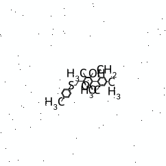 C=Cc1cc(C)cc(C)c1-c1c(O)c(C)c(CCSc2ccc(C)cc2)oc1=O